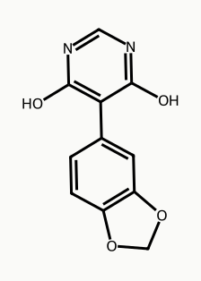 Oc1ncnc(O)c1-c1ccc2c(c1)OCO2